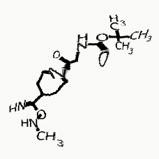 CNOC(=N)C1CCN(C(=O)CNC(=O)OC(C)(C)C)CC1